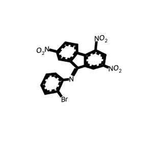 O=[N+]([O-])c1ccc2c(c1)C(=Nc1ccccc1Br)c1cc([N+](=O)[O-])cc([N+](=O)[O-])c1-2